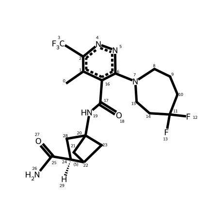 Cc1c(C(F)(F)F)nnc(N2CCCC(F)(F)CC2)c1C(=O)NC12CC(C1)[C@@H](C(N)=O)C2